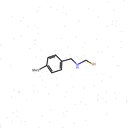 CSc1ccc(CNCS)cc1